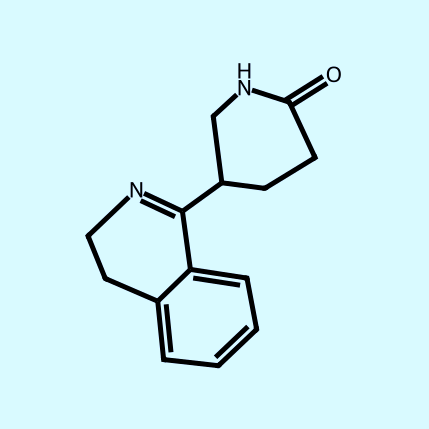 O=C1CCC(C2=NCCc3ccccc32)CN1